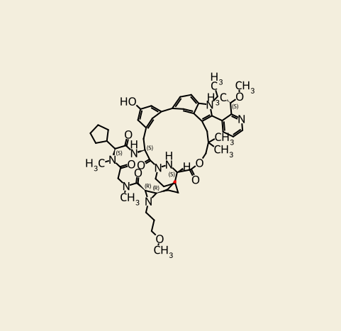 CCn1c(-c2cccnc2[C@H](C)OC)c2c3cc(ccc31)-c1cc(O)cc(c1)C[C@H](NC(=O)[C@H](C1CCCC1)N(C)C(=O)CN(C)C(=O)[C@H]1[C@@H](C3CC3)N1CCCOC)C(=O)N1CCC[C@H](N1)C(=O)OCC(C)(C)C2